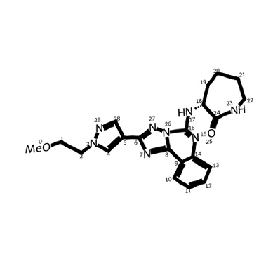 COCCn1cc(-c2nc3c4ccccc4nc(N[C@@H]4CCCCNC4=O)n3n2)cn1